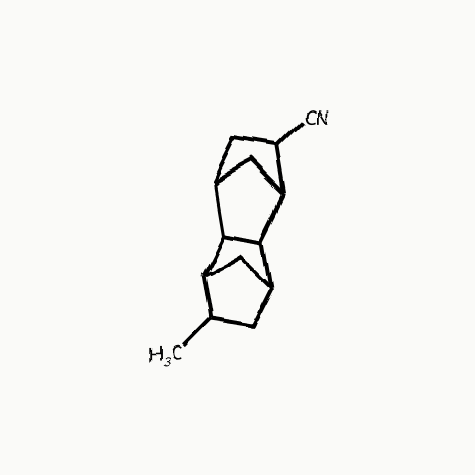 CC1CC2CC1C1C3CC(C#N)C(C3)C21